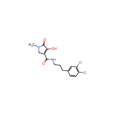 CN1CC(C(=O)NCCCc2ccc(Cl)c(Cl)c2)=C(O)C1=O